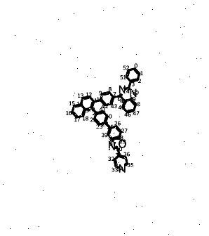 c1ccc(-c2nc(-c3ccc(-c4ccc5ccccc5c4-c4ccc(-c5ccc6oc(-c7ccncc7)nc6c5)cc4)cc3)c3ccccc3n2)cc1